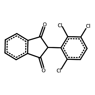 O=C1c2ccccc2C(=O)C1c1c(Cl)ccc(Cl)c1Cl